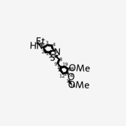 CCNc1ccc2nc(C=Cc3ccc(OCOC)c(OC)c3)sc2c1